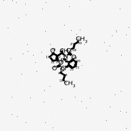 C=C(C1=C(OC(=O)OCCCC)CCC1=O)N(Nc1ccccc1Cl)C(=O)OCCCC